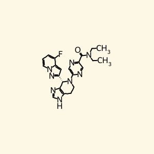 CCN(CC)C(=O)c1cnc(N2CCc3[nH]cnc3[C@@H]2c2cc3c(F)cccn3n2)cn1